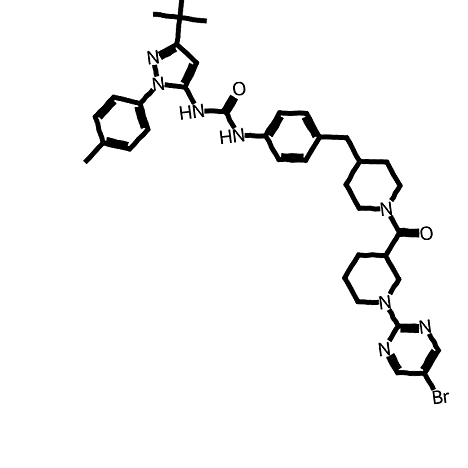 Cc1ccc(-n2nc(C(C)(C)C)cc2NC(=O)Nc2ccc(CC3CCN(C(=O)C4CCCN(c5ncc(Br)cn5)C4)CC3)cc2)cc1